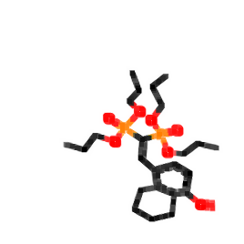 CCCOP(=O)(OCCC)C(=Cc1ccc(O)c2c1CCCC2)P(=O)(OCCC)OCCC